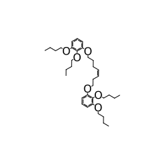 CCCCOc1cccc(OCC/C=C\CCCOc2cccc(OCCCC)c2OCCCC)c1OCCCC